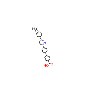 Cc1ccc(-c2ccc(-c3ccc(-c4ccc(C(=O)O)cc4)cc3)nc2)cc1